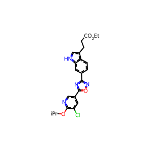 CCOC(=O)CCc1c[nH]c2cc(-c3noc(-c4cnc(OC(C)C)c(Cl)c4)n3)ccc12